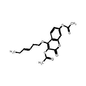 CCC=CCCOc1c(OC(C)=O)c(=O)oc2cc(OC(C)=O)ccc12